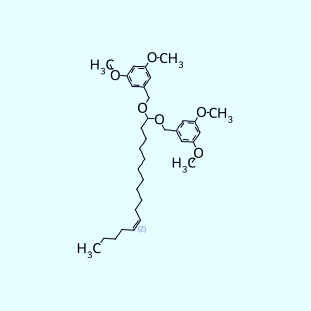 CCCC/C=C\CCCCCCCCCC(OCc1cc(OC)cc(OC)c1)OCc1cc(OC)cc(OC)c1